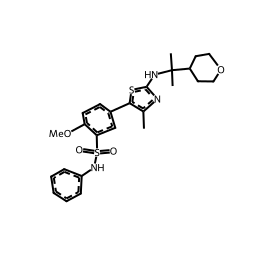 COc1ccc(-c2sc(NC(C)(C)C3CCOCC3)nc2C)cc1S(=O)(=O)Nc1ccccc1